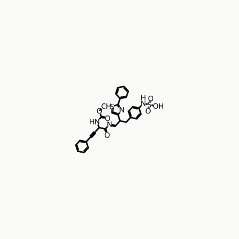 COC(=O)NC(C#Cc1ccccc1)C(=O)/N=C/C(Cc1ccc(NS(=O)(=O)O)cc1)c1csc(-c2ccccc2)n1